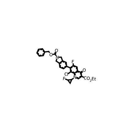 CCOC(=O)c1cn(C2CC2F)c2c(Cl)c(-c3ccc4c(c3)CN(C(=O)OCc3ccccc3)C4)c(F)cc2c1=O